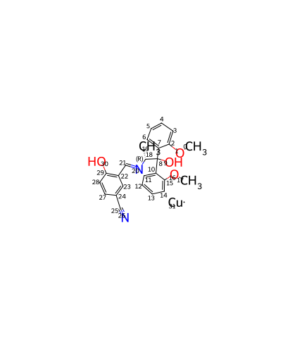 COc1ccccc1C(O)(c1ccccc1OC)[C@@H](C)N=Cc1cc(C#N)ccc1O.[Cu]